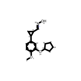 COc1ccc(C2CC2/C=N/O)cc1OC1CCCC1